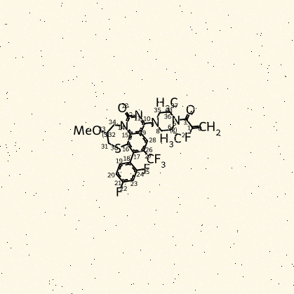 C=C(F)C(=O)N1[C@H](C)CN(c2nc(=O)n3c4c(c(-c5ccc(F)cc5F)c(C(F)(F)F)cc24)SC[C@@H](OC)C3)C[C@@H]1C